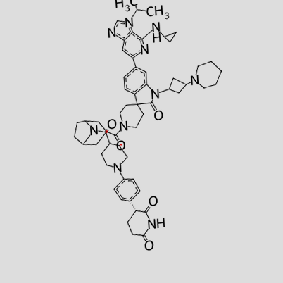 CC(C)n1cnc2cc(-c3ccc4c(c3)N(C3CC(N5CCCCC5)C3)C(=O)C43CCN(C(=O)C4CC5CCC(C4)N5C(=O)C4CCN(c5ccc([C@H]6CCC(=O)NC6=O)cc5)CC4)CC3)nc(NC3CC3)c21